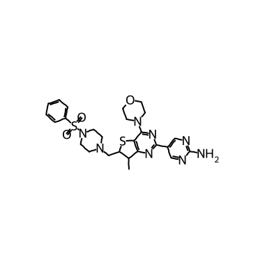 CC1c2nc(-c3cnc(N)nc3)nc(N3CCOCC3)c2SC1CN1CCN(S(=O)(=O)c2ccccc2)CC1